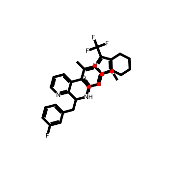 COc1cc(C)c(-c2cccnc2C(Cc2cccc(F)c2)NC(=O)Cn2nc(C(F)(F)F)c3c2CCCC3)c(C)c1